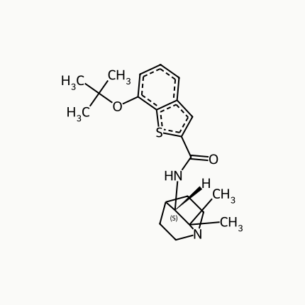 CC(C)(C)Oc1cccc2cc(C(=O)N[C@H]3C4CCN(CC4)C3(C)C)sc12